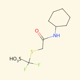 O=C(CSC(F)(F)S(=O)(=O)O)NC1CCCCC1